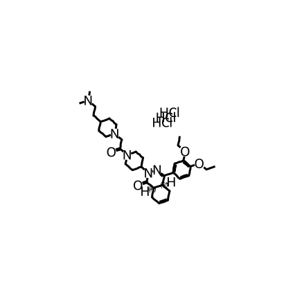 CCOc1ccc(C2=NN(C3CCN(C(=O)CN4CCC(CCN(C)C)CC4)CC3)C(=O)[C@@H]3CC=CC[C@H]23)cc1OCC.Cl.Cl.Cl